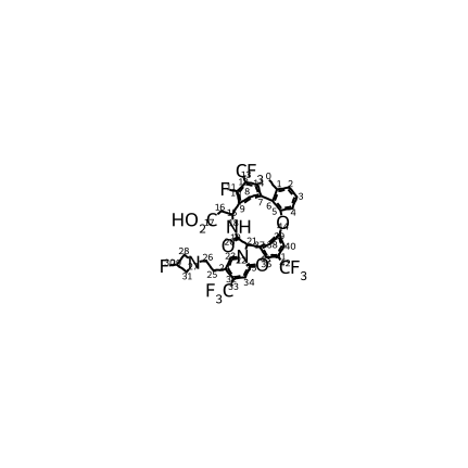 Cc1cccc2c1-c1cc(c(F)c(C(F)(F)F)c1)C(CC(=O)O)NC(=O)C(n1cc(CCN3CC(F)C3)c(C(F)(F)F)cc1=O)c1cc(cc(C(F)(F)F)c1)O2